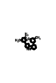 Cc1cc(C)cc(-c2ccc3[nH]c4cccc(-c5cc(C)cc(C)c5)c4c3c2)c1